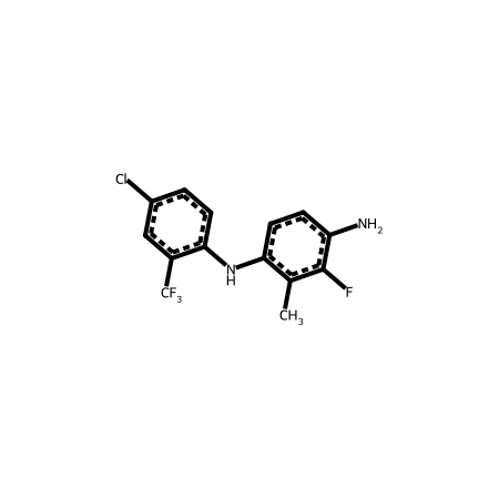 Cc1c(Nc2ccc(Cl)cc2C(F)(F)F)ccc(N)c1F